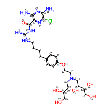 N=C(NCCCCc1ccc(OCCN(CC[C@H](O)CO)C[C@H](O)[C@H](O)CO)cc1)NC(=O)c1nc(Cl)c(N)nc1N